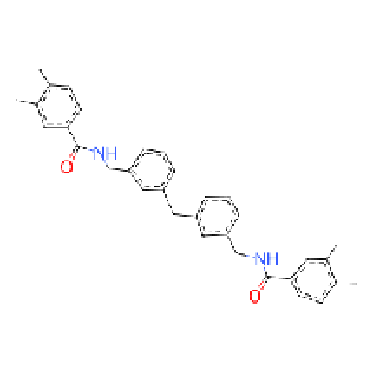 Cc1ccc(C(=O)NCc2cccc(Cc3cccc(CNC(=O)c4ccc(C)c(C)c4)c3)c2)cc1C